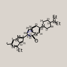 CCc1nc(C)cn2nc(C3=C\C(=O)N4C=C(N5CCC(N(CC)CC)CC5)C=C\C4=C/C=C/3)cc12